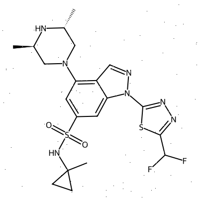 C[C@@H]1CN(c2cc(S(=O)(=O)NC3(C)CC3)cc3c2cnn3-c2nnc(C(F)F)s2)C[C@@H](C)N1